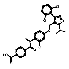 CC(C)c1onc(-c2c(Cl)cccc2Cl)c1COc1ccc(N(C)C(=O)c2ccc(C(=O)O)cc2)c(Cl)c1